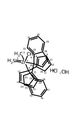 Cl.Cl.[CH3][Zr]([CH3])(=[SiH2])([C]1(C2=CC=CC2)C=Cc2ccccc21)[C]1(C2=CC=CC2)C=Cc2ccccc21